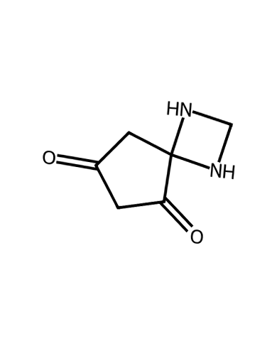 O=C1CC(=O)C2(C1)NCN2